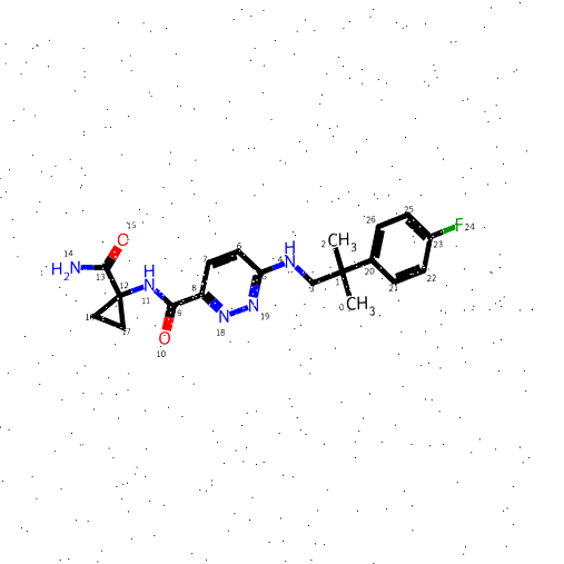 CC(C)(CNc1ccc(C(=O)NC2(C(N)=O)CC2)nn1)c1ccc(F)cc1